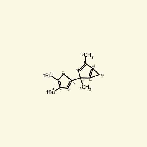 CC1=[C]C(C)(C2=CC(C(C)(C)C)=C(C(C)(C)C)C2)C2=C1C2